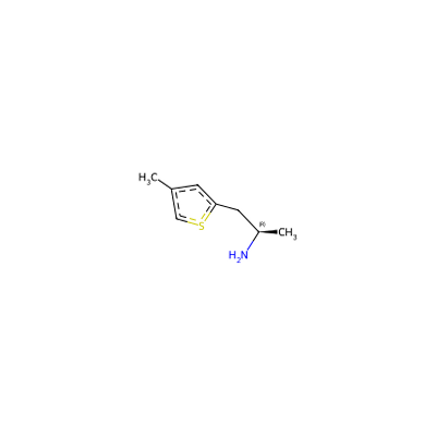 Cc1csc(C[C@@H](C)N)c1